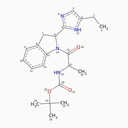 CCc1cnc(C2Cc3ccccc3N2C(=O)C(C)NC(=O)OC(C)(C)C)[nH]1